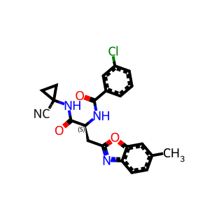 Cc1ccc2nc(C[C@H](NC(=O)c3cccc(Cl)c3)C(=O)NC3(C#N)CC3)oc2c1